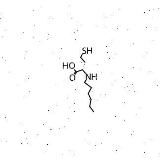 CCCCCCN[C@@H](CCS)C(=O)O